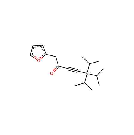 CC(C)[Si](C#CC(=O)Cc1ccco1)(C(C)C)C(C)C